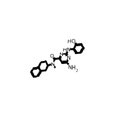 CN(C(=O)c1cc(N)nc(Nc2ccccc2O)n1)C1CCc2ccccc2C1